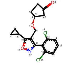 O=C1CC[C@H](OCc2c(-c3c(Cl)cccc3Cl)noc2C2CC2)C1